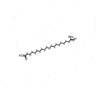 CC=C(N)CCCCCCCCCCCCCCCCCCC(=O)O